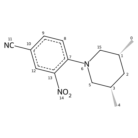 C[C@@H]1C[C@H](C)CN(c2ccc(C#N)cc2[N+](=O)[O-])C1